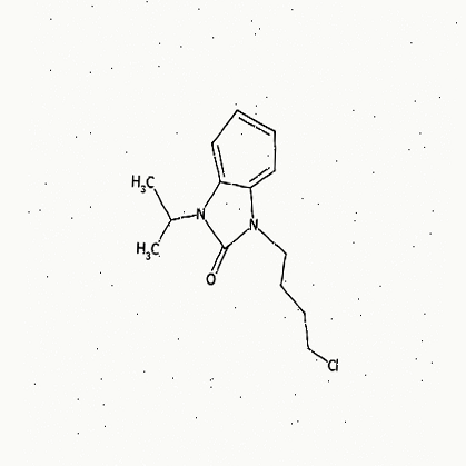 CC(C)n1c(=O)n(CCCCCl)c2ccccc21